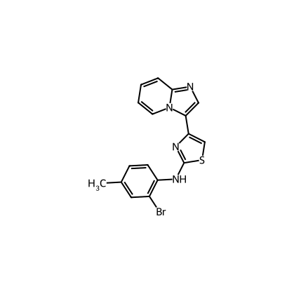 Cc1ccc(Nc2nc(-c3cnc4ccccn34)cs2)c(Br)c1